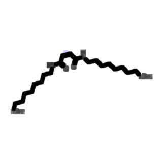 CCCCCCCCCCCCCCCCCCNC(=O)/C=C\C(=O)NCCCCCCCCCCCCCCCCCC